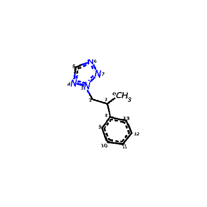 CC(Cn1n[c]nn1)c1ccccc1